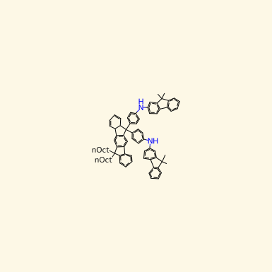 CCCCCCCCC1(CCCCCCCC)c2ccccc2-c2cc3c(cc21)C1C=CC=CC1C3(c1ccc(Nc2ccc3c(c2)C(C)(C)c2ccccc2-3)cc1)c1ccc(Nc2ccc3c(c2)C(C)(C)c2ccccc2-3)cc1